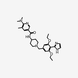 CCOc1cc(CN2CCC(NC(=O)c3cnc(N(C)C)c(C)c3)CC2)cc(OCC)c1-c1ncc[nH]1